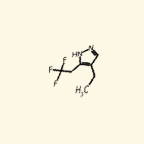 CCc1cn[nH]c1CC(F)(F)F